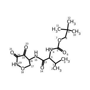 CC(C)C(NC(=O)OCC(C)(C)C)C(=O)NC1CONC(=O)C1=O